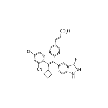 N#Cc1cc(Cl)ccc1/C(=C(\c1ccc(/C=C/C(=O)O)cc1)c1ccc2c(c1)C(F)NN2)C1CCC1